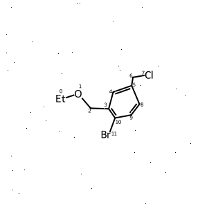 CCOCc1cc(CCl)ccc1Br